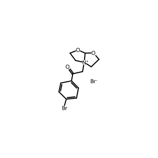 O=C(C[N+]12CCOC1OCC2)c1ccc(Br)cc1.[Br-]